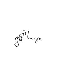 O=C(O)CCC/C=C\C[C@@H]1[C@@H](CNNC(=O)c2ccccc2)[C@@H]2CC[C@H]1O2